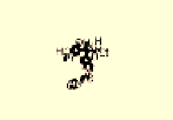 CCNC(=O)C1=NCC(c2cc(C(C)C)c(O)cc2O)=C1c1ccc2c(c1)CCN(C(=O)CCN1CCOCC1)C2